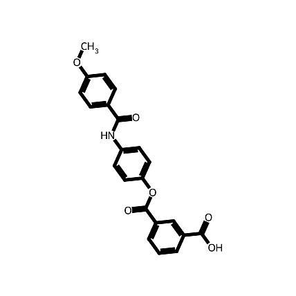 COc1ccc(C(=O)Nc2ccc(OC(=O)c3cccc(C(=O)O)c3)cc2)cc1